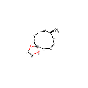 C=C1CCCCC2(CCCC1)OCCO2